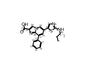 CC[C@@H](C)Nc1ncc(-c2cc(-c3ccccc3)c3nc(C(=O)O)cn3c2)s1